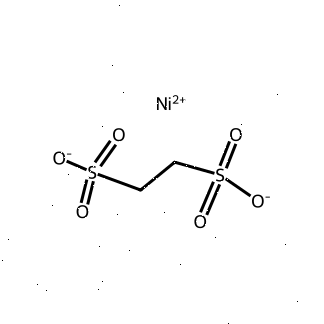 O=S(=O)([O-])CCS(=O)(=O)[O-].[Ni+2]